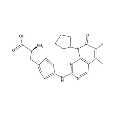 Cc1c(F)c(=O)n(C2CCCC2)c2nc(Nc3ccc(C[C@H](N)C(=O)O)cc3)ncc12